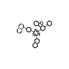 C1=CC2C=CC=C(c3ccc(-c4nc(-c5ccc6ccccc6c5)nc(-c5ccc(-c6ccccc6)c6oc7ccccc7c56)n4)cc3)C2C=C1